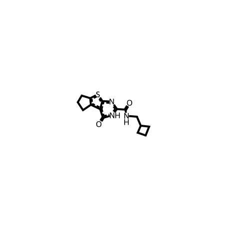 O=C(NCC1CCC1)c1nc2sc3c(c2c(=O)[nH]1)CCC3